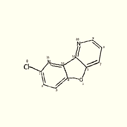 Clc1ccc2oc3cccnc3c2n1